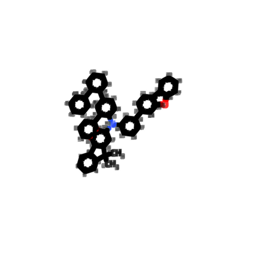 CC1(C)c2ccccc2-c2ccc(N(c3cccc(-c4ccc5c(c4)oc4ccccc45)c3)c3ccc(-c4ccccc4-c4ccccc4)cc3-c3ccccc3)cc21